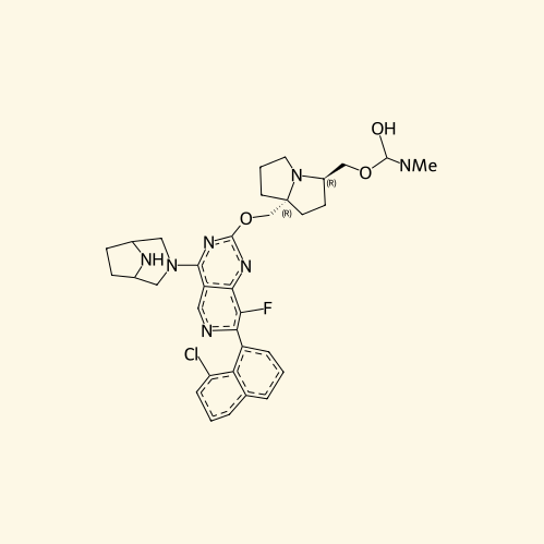 CNC(O)OC[C@H]1CC[C@@]2(COc3nc(N4CC5CCC(C4)N5)c4cnc(-c5cccc6cccc(Cl)c56)c(F)c4n3)CCCN12